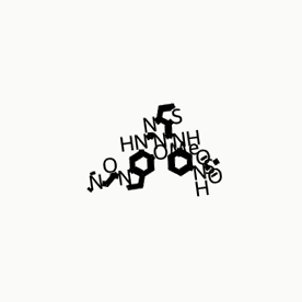 COc1cc2c(cc1Nc1nc(Nc3cccc(NS(C)(=O)=O)c3)c3sccc3n1)N(C(=O)CN(C)C)CC2